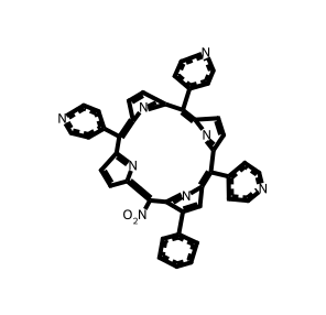 O=[N+]([O-])C1=C2C=CC(=N2)C(c2ccncc2)=C2C=CC(=N2)C(c2ccncc2)=C2C=CC(=N2)C(c2ccncc2)=C2C=C(c3ccccc3)C1=N2